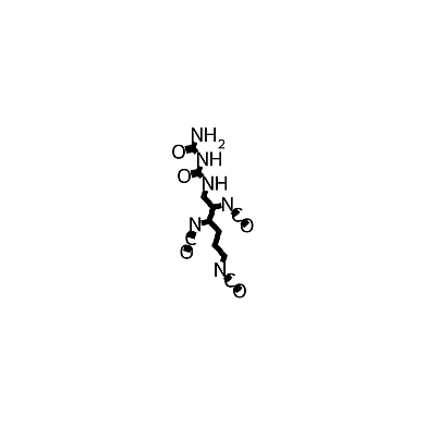 NC(=O)NC(=O)NCC(N=C=O)C(CCCN=C=O)N=C=O